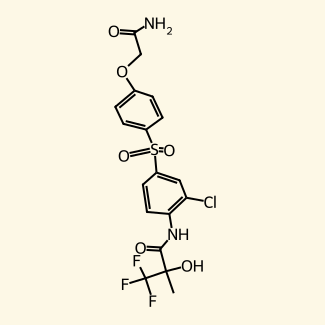 CC(O)(C(=O)Nc1ccc(S(=O)(=O)c2ccc(OCC(N)=O)cc2)cc1Cl)C(F)(F)F